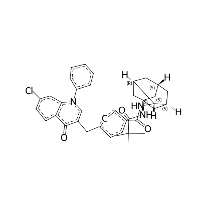 CC(C)(C)C(=O)N[C@]12C[C@@H]3C[C@H](C1)[C@@H](NC(=O)c1ccc(Cc4cn(-c5ccccc5)c5cc(Cl)ccc5c4=O)cc1)[C@@H](C3)C2